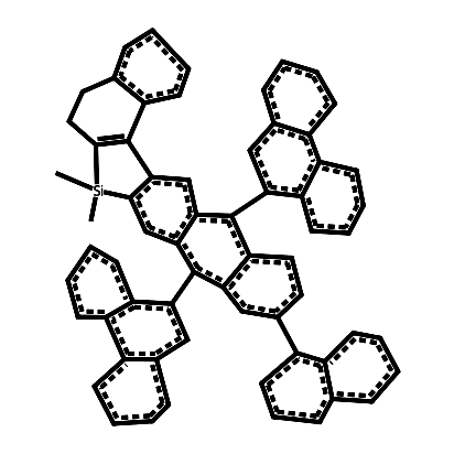 C[Si]1(C)C2=C(c3ccccc3CC2)c2cc3c(-c4cc5ccccc5c5ccccc45)c4ccc(-c5cccc6ccccc56)cc4c(-c4cc5ccccc5c5ccccc45)c3cc21